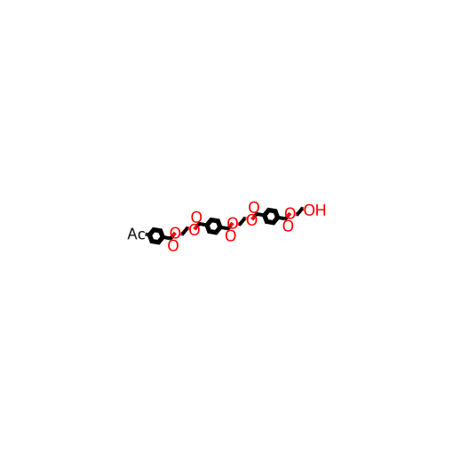 CC(=O)c1ccc(C(=O)OCCOC(=O)c2ccc(C(=O)OCCOC(=O)c3ccc(C(=O)OCCO)cc3)cc2)cc1